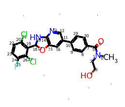 CN(CCO)C(=O)c1ccc(-c2cnc3c(c2)OC(c2c(Cl)ccc(F)c2Cl)N3)cc1